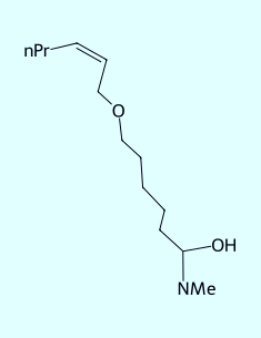 CCC/C=C\COCCCCCC(O)NC